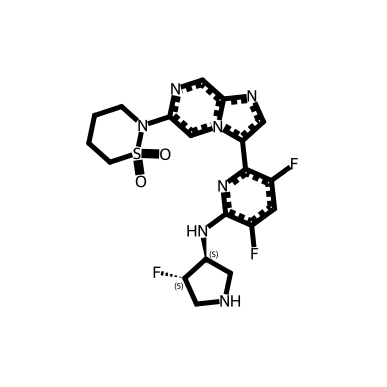 O=S1(=O)CCCCN1c1cn2c(-c3nc(N[C@H]4CNC[C@@H]4F)c(F)cc3F)cnc2cn1